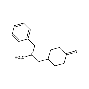 O=C1CCC(CN(Cc2ccccc2)C(=O)O)CC1